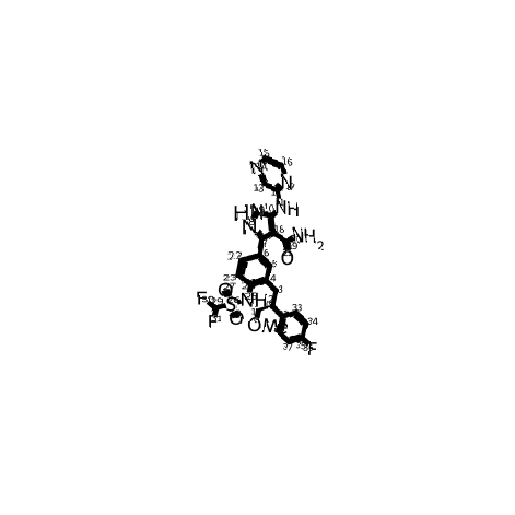 COC[C@@H](Cc1cc(-c2n[nH]c(Nc3cnccn3)c2C(N)=O)ccc1NS(=O)(=O)C(F)F)c1ccc(F)cc1